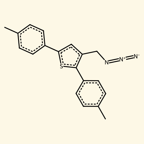 Cc1ccc(-c2cc(CN=[N+]=[N-])c(-c3ccc(C)cc3)s2)cc1